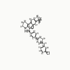 O=C(Nc1ccc(N2CCN(Cc3cccc(Cl)c3)CC2)cc1)C1=C(c2ccc(C(F)(F)F)cc2)CCCC1